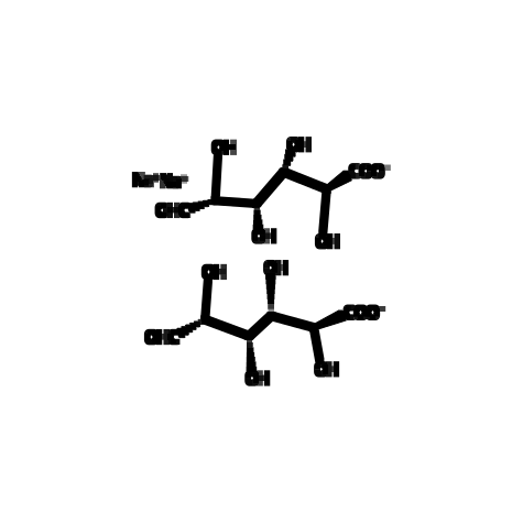 O=C[C@H](O)[C@@H](O)[C@H](O)[C@H](O)C(=O)[O-].O=C[C@H](O)[C@@H](O)[C@H](O)[C@H](O)C(=O)[O-].[Na+].[Na+]